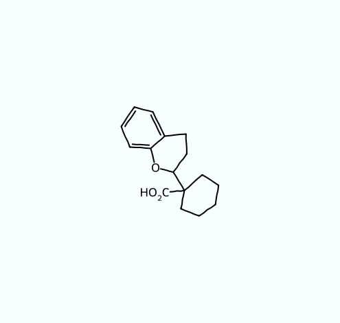 O=C(O)C1(C2CCc3ccccc3O2)CCCCC1